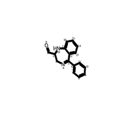 O=CC1CN=C(c2ccccc2)c2ccccc2N1